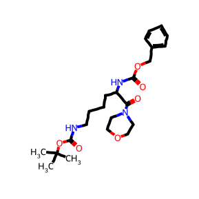 CC(C)(C)OC(=O)NCCCCC(NC(=O)OCc1ccccc1)C(=O)N1CCOCC1